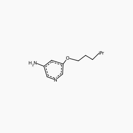 CC(C)CCCOc1cncc(N)c1